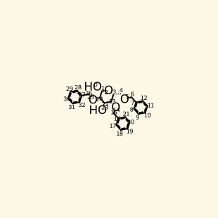 OC1O[C@H](COCc2ccccc2)[C@H](OCc2ccccc2)[C@H](O)[C@H]1OCc1ccccc1